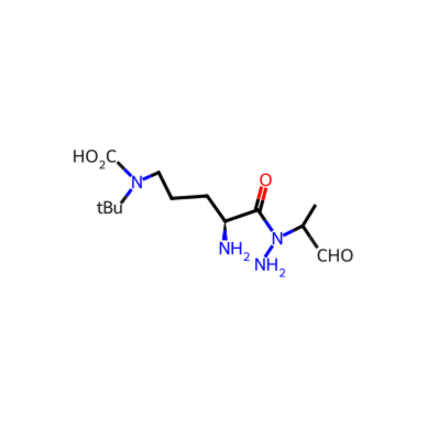 CC(C=O)N(N)C(=O)[C@@H](N)CCCN(C(=O)O)C(C)(C)C